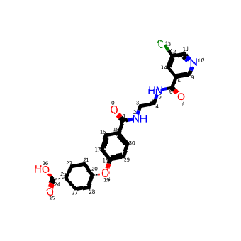 O=C(NCCNC(=O)c1cncc(Cl)c1)c1ccc(O[C@H]2CC[C@@H](C(=O)O)CC2)cc1